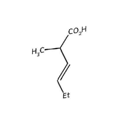 CCC=CC(C)C(=O)O